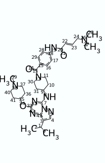 CC(C)c1cnn2c(NC3CCN(C(=O)c4ccc(NC(=O)/C=C/CN(C)C)cc4)CC3)nc(OC3CCN(C)CC3)nc12